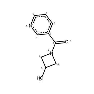 O=C(c1cccnc1)N1CC(O)C1